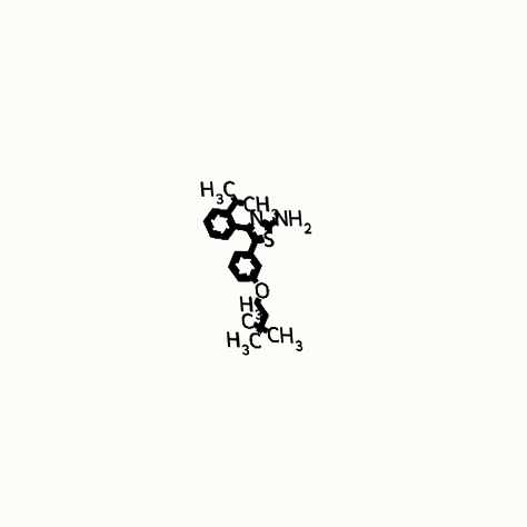 CC(C)c1ccccc1-c1nc(N)sc1-c1cccc(OCCC(C)(C)C)c1